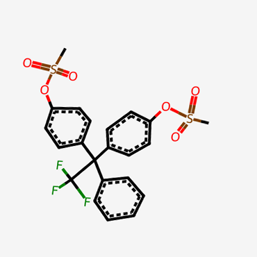 CS(=O)(=O)Oc1ccc(C(c2ccccc2)(c2ccc(OS(C)(=O)=O)cc2)C(F)(F)F)cc1